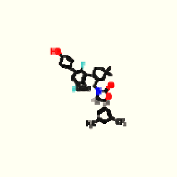 COc1c(F)cc(-c2ccc(O)cc2)c(F)c1C1=C(CN2C(=O)O[C@H](c3cc(C(F)(F)F)cc(C(F)(F)F)c3)[C@@H]2C)CC(C)(C)CC1